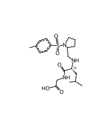 Cc1ccc(S(=O)(=O)N2CCCC2CN[C@@H](CC(C)C)C(=O)NCC(=O)O)cc1